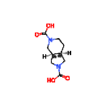 O=C(O)N1CC[C@H]2CN(C(=O)O)C[C@H]2C1